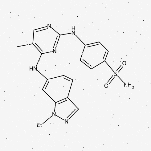 CCn1ncc2ccc(Nc3nc(Nc4ccc(S(N)(=O)=O)cc4)ncc3C)cc21